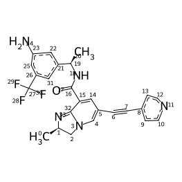 C[C@@H]1CN2C=C(C#Cc3ccncc3)C=C(C(=O)N[C@H](C)c3cc(N)cc(C(F)(F)F)c3)C2=N1